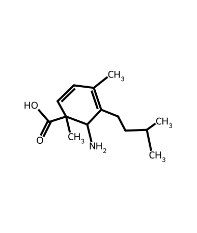 CC1=C(CCC(C)C)C(N)C(C)(C(=O)O)C=C1